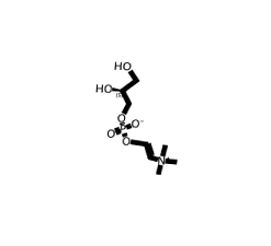 C[N+](C)(C)C=COP(=O)([O-])OC[C@@H](O)CO